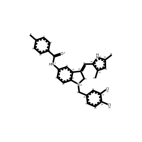 Cc1ccc(C(=O)Nc2ccc3c(c2)C(=Cc2[nH]c(C)cc2C)CN3Cc2ccc(Cl)c(Cl)c2)cc1